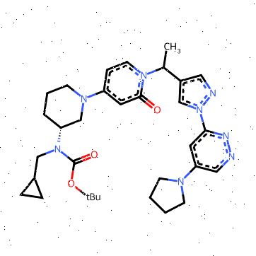 CC(c1cnn(-c2cc(N3CCCC3)cnn2)c1)n1ccc(N2CCC[C@@H](N(CC3CC3)C(=O)OC(C)(C)C)C2)cc1=O